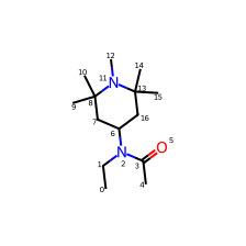 CCN(C(C)=O)C1CC(C)(C)N(C)C(C)(C)C1